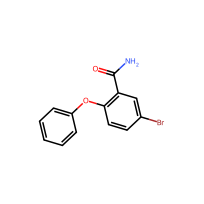 NC(=O)c1cc(Br)ccc1Oc1ccccc1